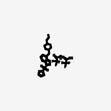 CCCN1CCN(Cc2cccc3c2ccn3S(=O)(=O)c2cccs2)CC1.O=C(O)C(F)(F)F.O=C(O)C(F)(F)F